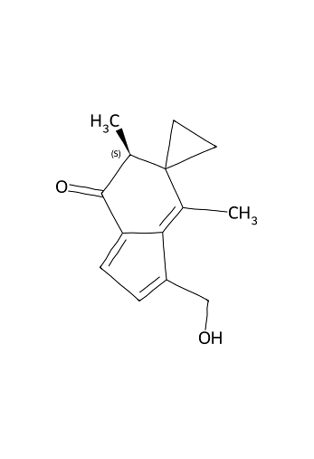 CC1=C2C(CO)=CC=C2C(=O)[C@@H](C)C12CC2